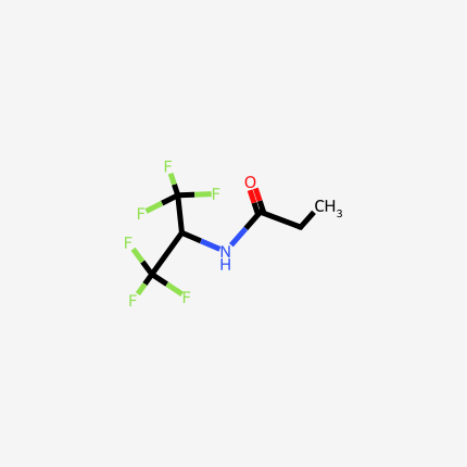 CCC(=O)NC(C(F)(F)F)C(F)(F)F